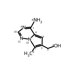 Cc1c(CO)cc2c(N)ncnn12